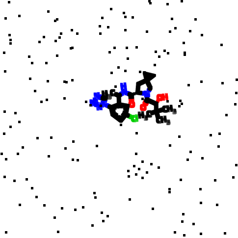 CC(NC(=O)[C@@H]1CC2(CC2)CN1C(=O)[C@H](O)C(C)(C)C)c1cc(Cl)ccc1-n1cnnn1